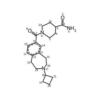 NC(=O)C1CCN(C(=O)c2ccc3c(c2)CCN(C2CCC2)CC3)CC1